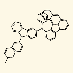 CC1C=Cc2cc(-n3c4ccccc4c4cc(N(c5ccccc5)c5cccc6c5C5=c7ccccc7=CC7=CC=CC6C75)ccc43)ccc2C1